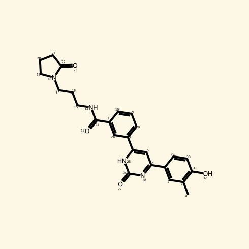 Cc1cc(-c2cc(-c3cccc(C(=O)NCCCN4CCCC4=O)c3)[nH]c(=O)n2)ccc1O